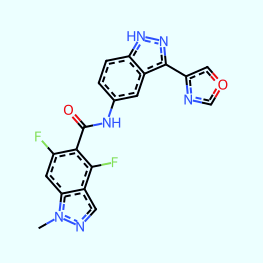 Cn1ncc2c(F)c(C(=O)Nc3ccc4[nH]nc(-c5cocn5)c4c3)c(F)cc21